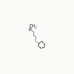 [CH2]OCCCCc1ccccc1